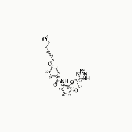 CC(C)CCC#CCOc1ccc(C(=O)Nc2cccc3c2OC(c2nnn[nH]2)CO3)cc1